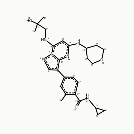 Cc1cc(-c2cnn3c(NCC(C)(C)O)cc(NC4CCOCC4)nc23)ccc1C(=O)NC1CC1